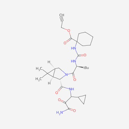 C#CCOC(=O)C1(NC(=O)N[C@H](C(=O)N2C[C@H]3[C@@H]([C@H]2C(=O)NC(C(=O)C(N)=O)C2CC2)C3(C)C)C(C)(C)C)CCCCC1